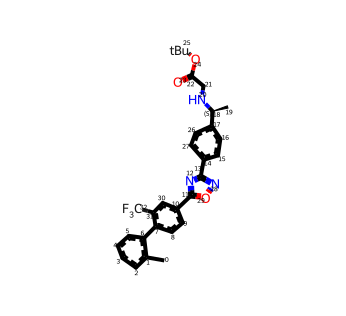 Cc1ccccc1-c1ccc(-c2nc(-c3ccc([C@H](C)NCC(=O)OC(C)(C)C)cc3)no2)cc1C(F)(F)F